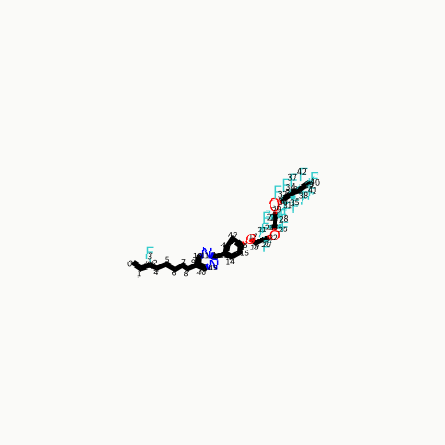 CC[C@H](F)CCCCCc1cnc(-c2ccc(OCC(F)(F)OC(F)(F)C(F)(F)OC(F)(F)C(F)(F)C(F)(F)C(F)(F)F)cc2)nc1